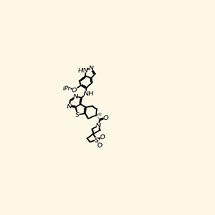 CC(C)Oc1cc2[nH]ncc2cc1Nc1ncnc2sc3c(c12)CC[C@H](C(=O)N1CC2(CCS2(=O)=O)C1)C3